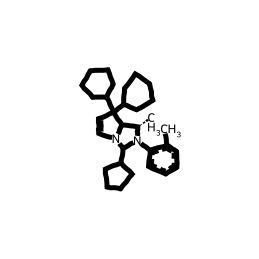 Cc1ccccc1N1C(C2CCCC2)N2C=CC(C3CCCCC3)(C3CCCCC3)C2[C@@H]1C